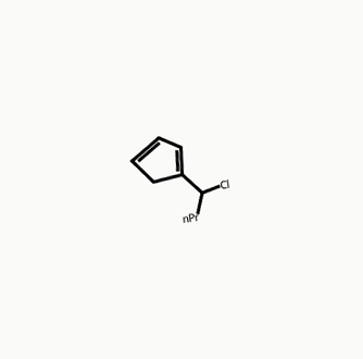 CCCC(Cl)C1=CC=CC1